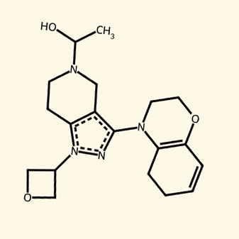 CC(O)N1CCc2c(c(N3CCOC4=C3CCC=C4)nn2C2COC2)C1